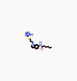 CCCCCC(=O)Nc1ccc2ccn(CCCSc3nnn[nH]3)c2c1